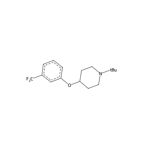 CC(C)(C)N1CCC(Oc2cccc(C(F)(F)F)c2)CC1